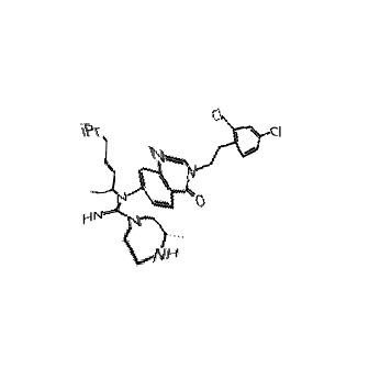 CC(C)CCCC(C)N(C(=N)N1CCN[C@@H](C)C1)c1ccc2c(=O)n(CCc3ccc(Cl)cc3Cl)cnc2c1